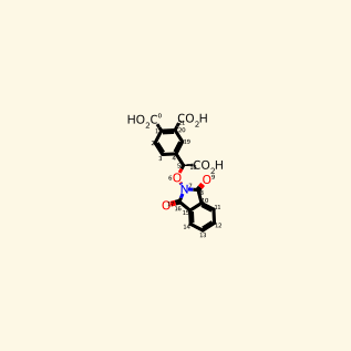 O=C(O)c1ccc([C@H](ON2C(=O)c3ccccc3C2=O)C(=O)O)cc1C(=O)O